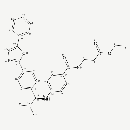 CCOC(=O)CCNC(=O)c1ccc(N[C@H](c2ccc(-c3nnc(-c4ccccc4)o3)cc2)C(C)C)cc1